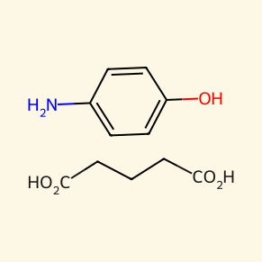 Nc1ccc(O)cc1.O=C(O)CCCC(=O)O